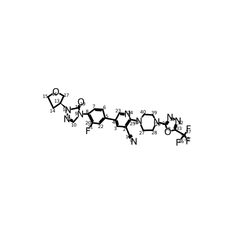 N#Cc1cc(-c2ccc(-n3cnn([C@H]4CCOC4)c3=O)c(F)c2)cnc1N1CCN(c2nnc(C(F)(F)F)o2)CC1